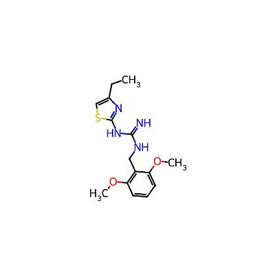 CCc1csc(NC(=N)NCc2c(OC)cccc2OC)n1